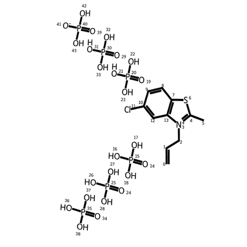 C=CC[n+]1c(C)sc2ccc(Cl)cc21.O=P(O)(O)O.O=P(O)(O)O.O=P(O)(O)O.O=P(O)(O)O.O=P(O)(O)O.O=P([O-])(O)O